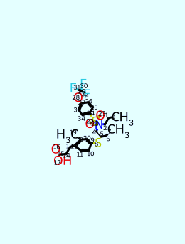 CCCN(C[C@@H](CC)Sc1ccc(CCC(=O)O)c(C)c1)S(=O)(=O)c1ccc(OC(F)(F)F)cc1